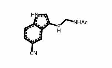 CC(=O)NCPc1c[nH]c2ccc(C#N)cc12